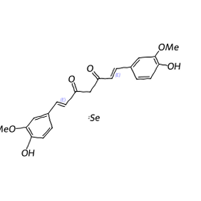 COc1cc(/C=C/C(=O)CC(=O)/C=C/c2ccc(O)c(OC)c2)ccc1O.[Se]